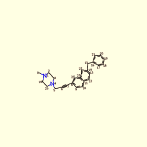 CN1CCN(CC#Cc2ccc3ccc(Cc4ccccc4)cc3c2)CC1